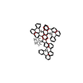 CC1(C)c2cc(N(c3ccccc3-c3ccccc3)c3ccccc3-c3ccccc3)ccc2-c2cc3c(N(c4ccccc4-c4ccccc4)c4ccccc4-c4ccccc4)c4ccccc4c(N(c4ccccc4-c4ccccc4)c4ccccc4-c4ccccc4)c3cc21